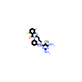 N#Cc1cccc(-n2c(CCCNc3nc(N)nc(N)c3C#N)nc3c(F)ccc(F)c3c2=O)c1